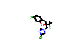 Clc1ccc2c(c1)OC(Cn1cnc(Br)c1)(C1(Cl)CC1)C2